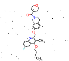 CCCCOc1c(C)c(COc2ccc3c(c2)CN(C(=O)C2CCOCC2)CC3)nc2ccc(F)cc12